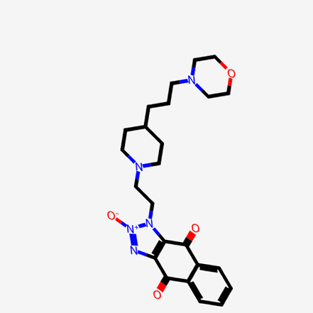 O=C1c2ccccc2C(=O)c2c1n[n+]([O-])n2CCN1CCC(CCCN2CCOCC2)CC1